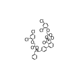 O=C(COc1ccc(Cl)cc1Cl)ON(Cc1ccccc1)Cc1ccc(-c2cccc3c2C(=O)N(OC(=O)COc2ccc(Cl)cc2Cl)C3=O)cc1